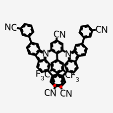 N#Cc1cccc(-c2ccc3c4ccc(-c5cccc(C#N)c5)cc4n(-c4cc(C#N)cc(-n5c6cc(-c7cccc(C#N)c7)ccc6c6ccc(-c7cccc(C#N)c7)cc65)c4-c4cc(C(F)(F)F)cc(C(F)(F)F)c4)c3c2)c1